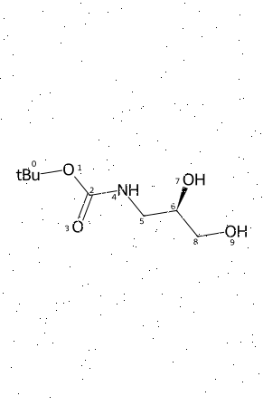 CC(C)(C)OC(=O)NC[C@@H](O)CO